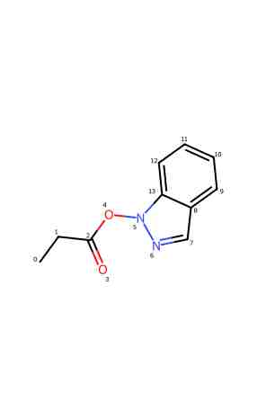 CCC(=O)On1ncc2ccccc21